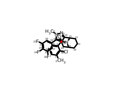 Cc1cncc(C(=O)N2C3CCCC2c2nn(C)c(-c4cc(F)c(F)c(F)c4)c2C3)c1Cl